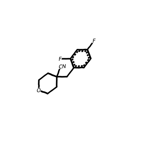 N#CC1(Cc2ccc(F)cc2F)CCOCC1